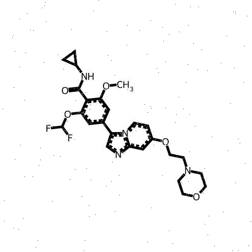 COc1cc(-c2cnc3cc(OCCN4CCOCC4)ccn23)cc(OC(F)F)c1C(=O)NC1CC1